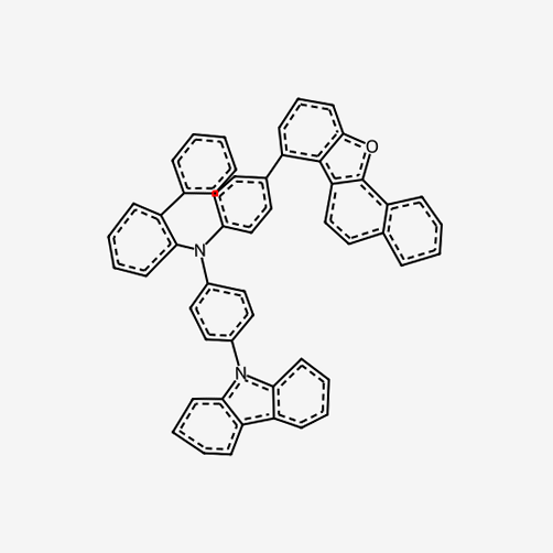 c1ccc(-c2ccccc2N(c2ccc(-c3cccc4oc5c6ccccc6ccc5c34)cc2)c2ccc(-n3c4ccccc4c4ccccc43)cc2)cc1